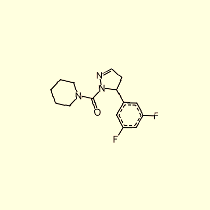 O=C(N1CCCCC1)N1N=CCC1c1cc(F)cc(F)c1